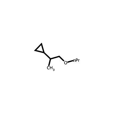 CCCOC[C](C)C1CC1